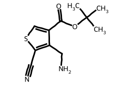 CC(C)(C)OC(=O)c1csc(C#N)c1CN